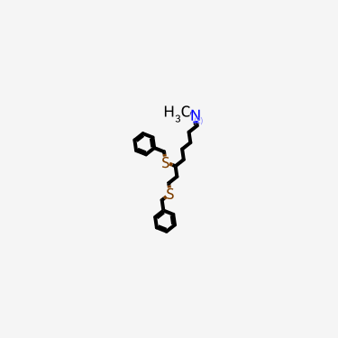 C/N=C\CCCCC(CCSCc1ccccc1)SCc1ccccc1